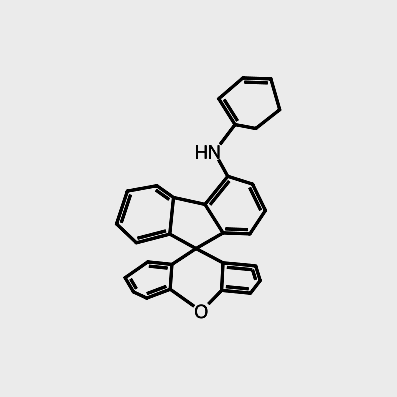 C1=CCCC(Nc2cccc3c2-c2ccccc2C32c3ccccc3Oc3ccccc32)=C1